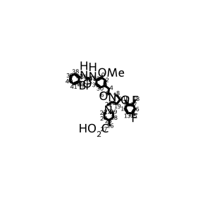 COc1cc(CC(=O)N2C[C@@H](Oc3ccc(F)cc3F)CC2CN2CCC(CC(=O)O)CC2)ccc1NC(=O)Nc1ccccc1Br